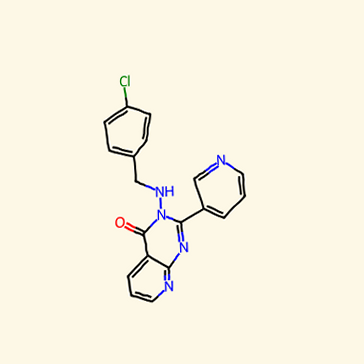 O=c1c2cccnc2nc(-c2cccnc2)n1NCc1ccc(Cl)cc1